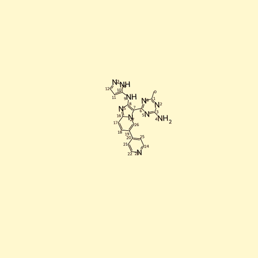 Cc1nc(N)nc(-c2c(Nc3ccn[nH]3)nc3ccc(-c4ccncc4)cn23)n1